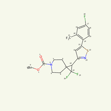 CC(C)(C)OC(=O)N1CCC2(CC1)C(c1cc(-c3ccc(F)cc3C(F)(F)F)sn1)C2(F)F